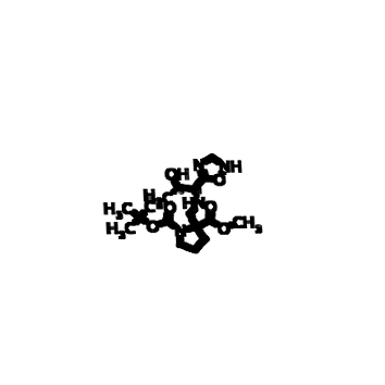 COC(=O)C1(CN[C@H](C2=NCNO2)[C@@H](C)O)CCCN1C(=O)OC(C)(C)C